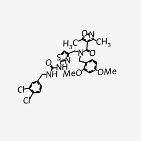 COc1ccc(CN(Cc2csc(NC(=O)NCc3ccc(Cl)c(Cl)c3)n2)C(=O)c2c(C)noc2C)c(OC)c1